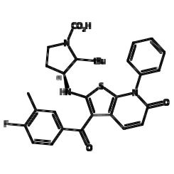 Cc1cc(C(=O)c2c(N[C@H]3CCN(C(=O)O)C3C(C)(C)C)sc3c2ccc(=O)n3-c2ccccc2)ccc1F